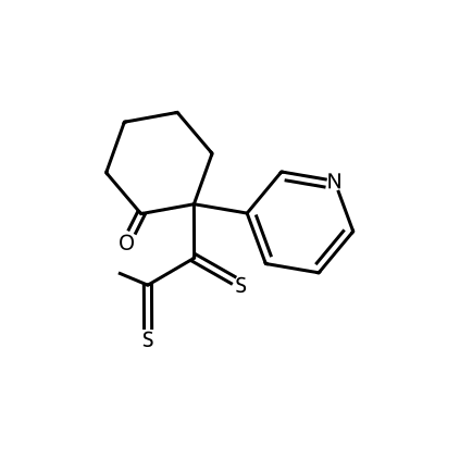 CC(=S)C(=S)C1(c2cccnc2)CCCCC1=O